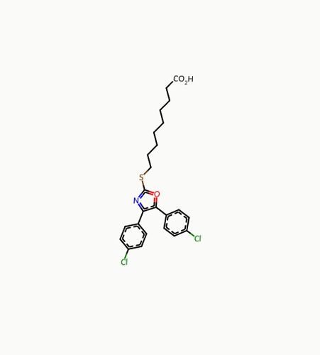 O=C(O)CCCCCCCCSc1nc(-c2ccc(Cl)cc2)c(-c2ccc(Cl)cc2)o1